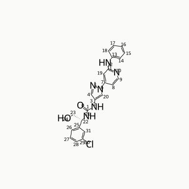 O=C(Nc1cnn(-c2ccnc(Nc3ccccc3)c2)c1)N[C@@H](CO)c1cccc(Cl)c1